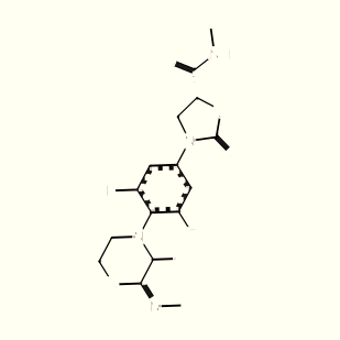 C/N=C1/SCCN(c2c(F)cc(N3C[C@H](C(=O)NC)OC3=O)cc2F)C1O